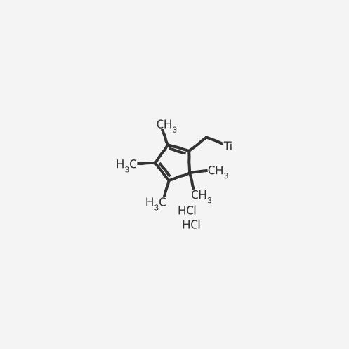 CC1=C(C)C(C)(C)C([CH2][Ti])=C1C.Cl.Cl